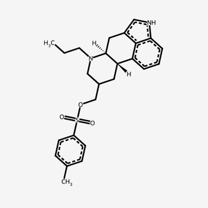 CCCN1CC(COS(=O)(=O)c2ccc(C)cc2)C[C@H]2c3cccc4[nH]cc(c34)C[C@@H]21